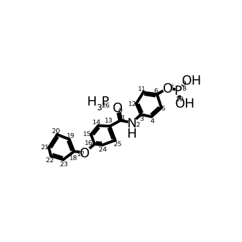 O=C(Nc1ccc(OP(O)O)cc1)c1ccc(Oc2ccccc2)cc1.P